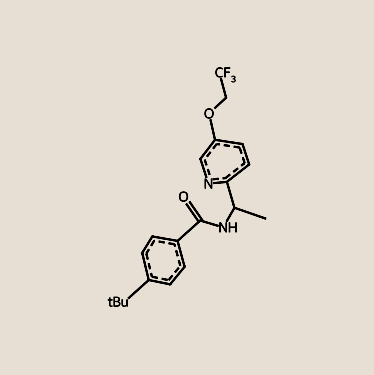 CC(NC(=O)c1ccc(C(C)(C)C)cc1)c1ccc(OCC(F)(F)F)cn1